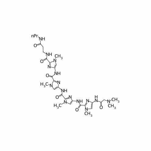 CCCNC(=O)CCNC(=O)c1nc(NC(=O)c2nc(NC(=O)c3nc(NC(=O)c4nc(NC(=O)CN(C)C)cn4C)cn3C)cn2C)cn1C